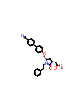 COC(=O)C[C@@H]1C[C@@H](COc2ccc(-c3ccc(C#N)cc3)cc2)N(CCc2ccccc2)C1=O